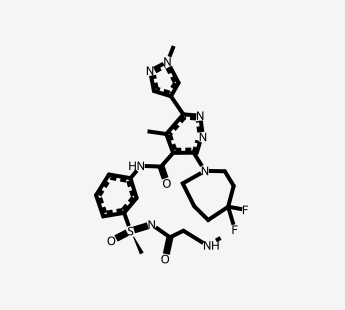 CNCC(=O)N=[S@](C)(=O)c1cccc(NC(=O)c2c(N3CCCC(F)(F)CC3)nnc(-c3cnn(C)c3)c2C)c1